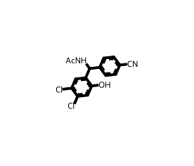 CC(=O)NC(c1ccc(C#N)cc1)c1cc(Cl)c(Cl)cc1O